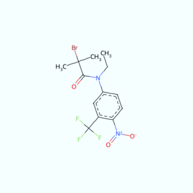 CCN(C(=O)C(C)(C)Br)c1ccc([N+](=O)[O-])c(C(F)(F)F)c1